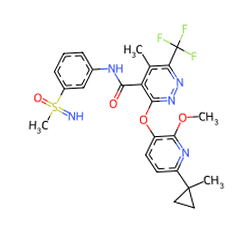 COc1nc(C2(C)CC2)ccc1Oc1nnc(C(F)(F)F)c(C)c1C(=O)Nc1cccc(S(C)(=N)=O)c1